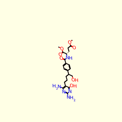 COC(=O)CC[C@H](NC(=O)c1ccc(C(CO)CCCc2c(N)nc(N)nc2O)cc1)C(=O)OC